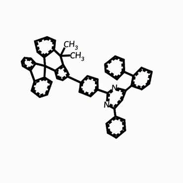 CC1(C)c2ccccc2C2(c3ccccc3-c3ccccc32)c2ccc(-c3ccc(-c4nc(-c5ccccc5)cc(-c5ccccc5-c5ccccc5)n4)cc3)cc21